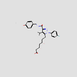 COc1ccc(CNC(=O)c2nn(-c3ccc(F)cc3)c(CC[C@@H](O)C[C@@H](O)CC(=O)O)c2C(C)C)cc1